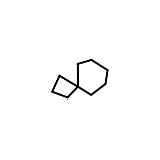 [CH]1CCC12CCCCC2